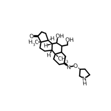 C[C@]12CC/C(=N/O[C@@H]3CCNC3)CC1C(CO)C(O)[C@@H]1[C@H]2CC[C@]2(C)C(=O)CC[C@@H]12